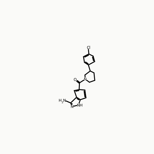 Nc1n[nH]c2ccc(C(=O)N3CCCC(c4ccc(Cl)cc4)C3)cc12